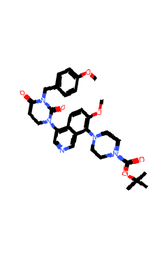 COc1ccc(CN2C(=O)CCN(c3cncc4c(N5CCN(C(=O)OC(C)(C)C)CC5)c(OC)ccc34)C2=O)cc1